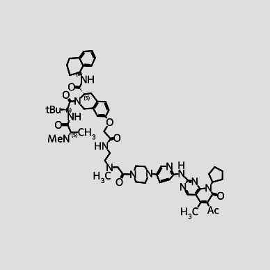 CN[C@@H](C)C(=O)N[C@H](C(=O)N1Cc2cc(OCC(=O)NCCN(C)CC(=O)N3CCN(c4ccc(Nc5ncc6c(C)c(C(C)=O)c(=O)n(C7CCCC7)c6n5)nc4)CC3)ccc2C[C@H]1C(=O)N[C@@H]1CCCc2ccccc21)C(C)(C)C